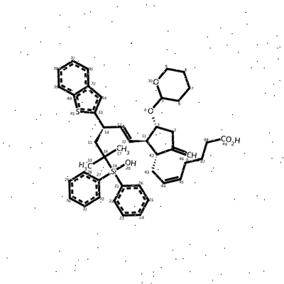 C=C1C[C@@H](OC2CCCCO2)[C@H](/C=C/[C@@H](CC(C)(C)[Si](O)(c2ccccc2)c2ccccc2)c2cc3ccccc3s2)[C@H]1C/C=C\CCCC(=O)O